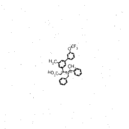 Cc1cc(-c2cccc(OC(F)(F)F)c2)cc([C@H](CC(=O)O)N(Cc2ccccc2)[C@H](C)c2ccccc2)c1